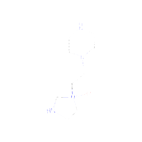 [O-][N+]1(CCN2CCNCC2)CCNC1